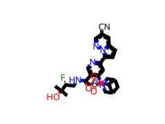 CC(C)(O)[C@H](F)CNC(=O)c1cnc(-c2ccc3cc(C#N)cnn23)cc1NC1C2CC1CN(S(C)(=O)=O)C2